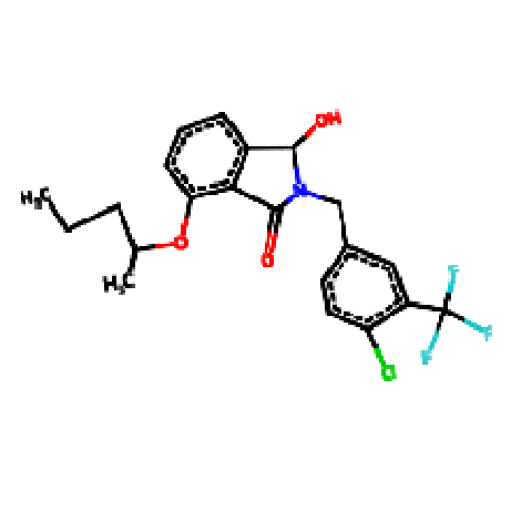 CCCC(C)Oc1cccc2c1C(=O)N(Cc1ccc(Cl)c(C(F)(F)F)c1)C2O